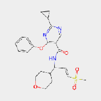 CS(=O)(=O)C=CC(NC(=O)c1cnc(C2CC2)nc1Oc1ccccc1)C1CCOCC1